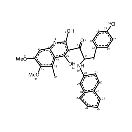 COc1cc2nc(O)c(C(=O)C(Cc3ccc(Cl)cc3)Nc3ccc4ccccc4c3)c(O)c2c(C)c1OC